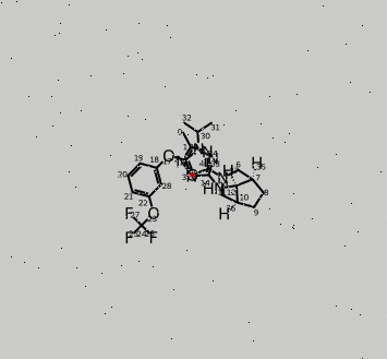 Cc1noc(N2C[C@H]3CC[C@@H](C2)[C@H]3Nc2nc(Oc3cccc(OC(F)(F)F)c3)n(C(C)C)n2)n1